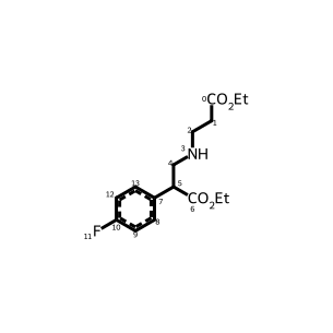 CCOC(=O)CCNCC(C(=O)OCC)c1ccc(F)cc1